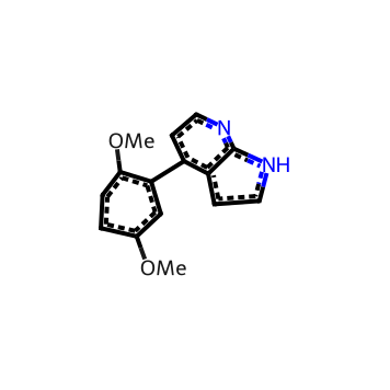 COc1ccc(OC)c(-c2ccnc3[nH]ccc23)c1